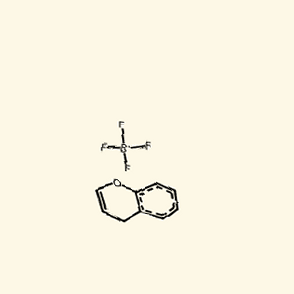 C1=COc2ccccc2C1.F[B-](F)(F)F